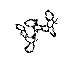 CC1(C)c2ccccc2-c2c3c1cccc3cc1c2c2ccccc2n1-c1nc2ccccc2c2nc3ccccc3n12